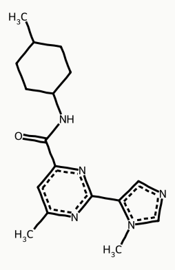 Cc1cc(C(=O)NC2CCC(C)CC2)nc(-c2cncn2C)n1